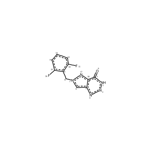 O=c1[nH]nnc2cn(Cc3c(F)cccc3F)nc12